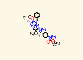 CC(C)(C)OC(=O)N[C@H]1CC[C@H](CNc2nc(NCc3ccccc3OC(F)(F)F)ncc2[N+](=O)[O-])CC1